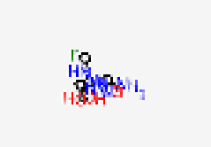 NC(=O)c1cccn2c(-c3nc(NCc4cccc(F)c4)c4cccc(B(O)O)c4n3)nnc12